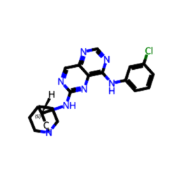 Clc1cccc(Nc2ncnc3cnc(N[C@@H]4CN5CCC4CC5)nc23)c1